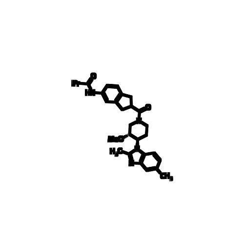 CO[C@@H]1CN(C(=O)C2Cc3ccc(NC(=O)C(C)C)cc3C2)CC[C@H]1n1c(C)nc2cc(C)ccc21